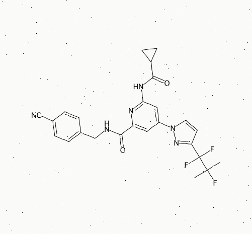 CC(C)(F)C(F)(F)c1ccn(-c2cc(NC(=O)C3CC3)nc(C(=O)NCc3ccc(C#N)cc3)c2)n1